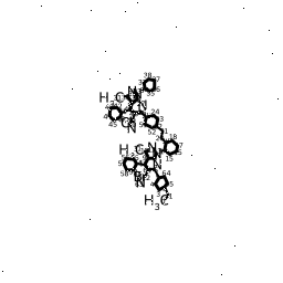 CCc1ccc(-c2nc3c(c(C)nn3-c3ccccc3CCc3ccc(-c4nc5c(c(C)nn5-c5ccccc5)c(-c5ccccc5Cl)c4C#N)cc3)c(-c3ccccc3Br)c2C#N)cc1